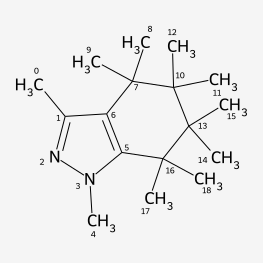 Cc1nn(C)c2c1C(C)(C)C(C)(C)C(C)(C)C2(C)C